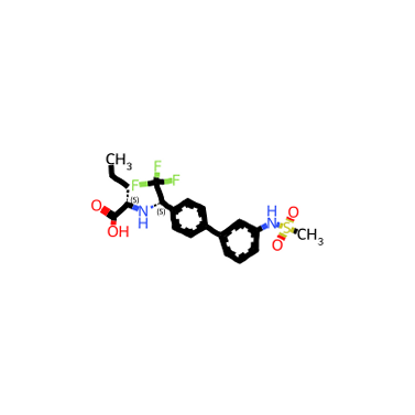 CCC[C@H](N[C@@H](c1ccc(-c2cccc(NS(C)(=O)=O)c2)cc1)C(F)(F)F)C(=O)O